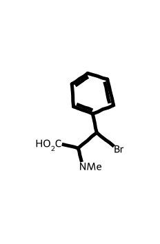 CNC(C(=O)O)C(Br)c1ccccc1